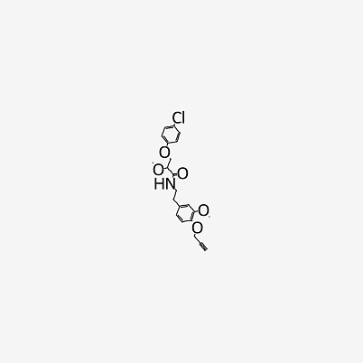 C#CCOc1ccc(CCNC(=O)C(COc2ccc(Cl)cc2)OC)cc1OC